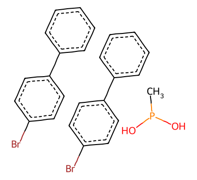 Brc1ccc(-c2ccccc2)cc1.Brc1ccc(-c2ccccc2)cc1.CP(O)O